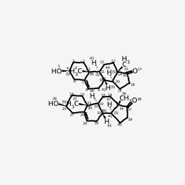 C[C@]12CC[C@H](O)CC1=CC[C@@H]1[C@@H]2CC[C@]2(C)C(=O)CC[C@@H]12.C[C@]12CC[C@H](O)CC1=CC[C@@H]1[C@@H]2CC[C@]2(C)C(=O)CC[C@@H]12